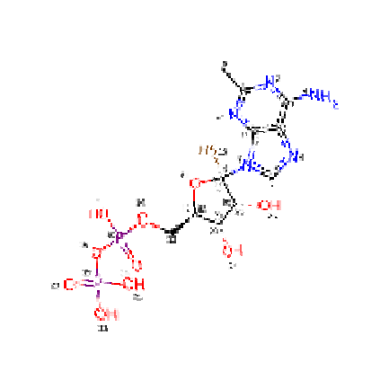 Cc1nc(N)c2ncn([C@]3(S)O[C@H](COP(=O)(O)OP(=O)(O)O)[C@@H](O)[C@H]3O)c2n1